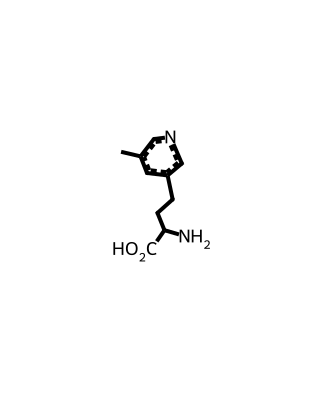 Cc1cncc(CCC(N)C(=O)O)c1